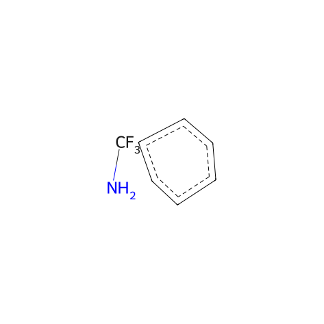 NC(F)(F)F.c1ccccc1